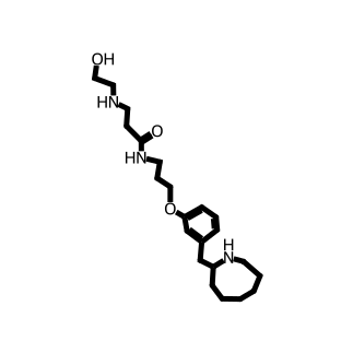 O=C(CCNCCO)NCCCOc1cccc(CC2CCCCCCN2)c1